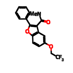 CNC(=O)c1c(-c2ccccc2)oc2ccc(OCC(F)(F)F)cc12